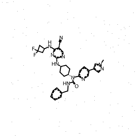 Cn1cc(-c2ccc(N(C(=O)NCc3ccccc3)[C@H]3CC[C@H](Nc4ncc(C#N)c(NC5CC(F)(F)C5)n4)CC3)nc2)cn1